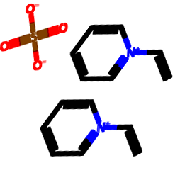 C=C[n+]1ccccc1.C=C[n+]1ccccc1.O=S(=O)([O-])[O-]